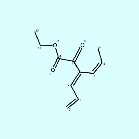 C=C/C=C(\C=C/C)C(=O)C(=O)OCC